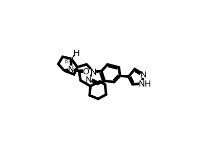 O=C(CC1CCCCC1)N1C2CC[C@H]1C(Cn1ncc3cc(-c4cn[nH]c4)ccc31)C2